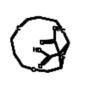 O=C(O)C1(C(=O)O)C2CCCCCCCCCCC1C2